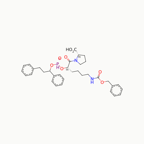 O=C(NCCCC[C@H](O[PH](=O)OC(CCc1ccccc1)c1ccccc1)C(=O)N1CCC[C@H]1C(=O)O)OCc1ccccc1